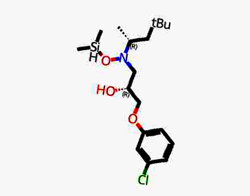 C[C@H](CC(C)(C)C)N(C[C@@H](O)COc1cccc(Cl)c1)O[SiH](C)C